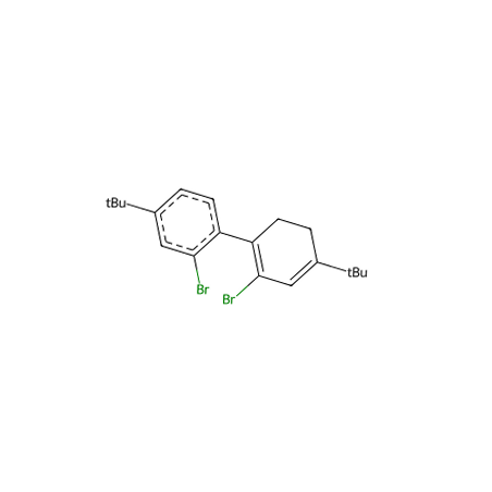 CC(C)(C)C1=CC(Br)=C(c2ccc(C(C)(C)C)cc2Br)CC1